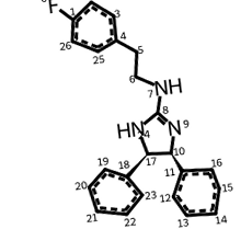 Fc1ccc(CCNC2=N[C@@H](c3ccccc3)[C@@H](c3ccccc3)N2)cc1